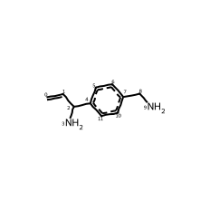 C=CC(N)c1ccc(CN)cc1